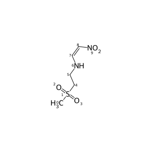 CS(=O)(=O)CCN/C=C\[N+](=O)[O-]